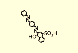 O=S(=O)(O)c1cc(N=Nc2ccc(N=Nc3ccccc3)cc2)c(O)c2ccccc12